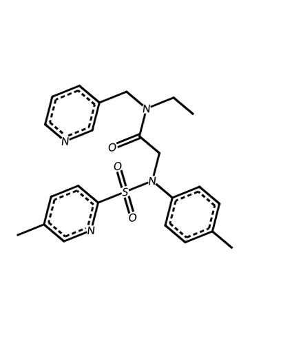 CCN(Cc1cccnc1)C(=O)CN(c1ccc(C)cc1)S(=O)(=O)c1ccc(C)cn1